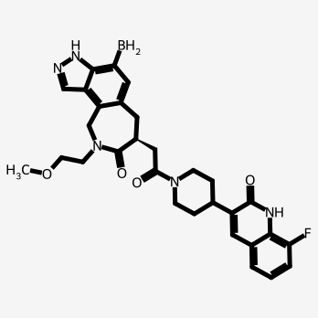 Bc1cc2c(c3cn[nH]c13)CN(CCOC)C(=O)[C@H](CC(=O)N1CCC(c3cc4cccc(F)c4[nH]c3=O)CC1)C2